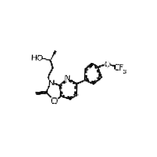 C=C1Oc2ccc(-c3ccc(OC(F)(F)F)cc3)nc2N1CC[C@H](C)O